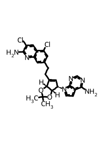 CC1(C)O[C@@H]2[C@H](O1)C(CCc1cc(Cl)c3cc(Cl)c(N)nc3c1)=C[C@H]2n1ccc2c(N)ncnc21